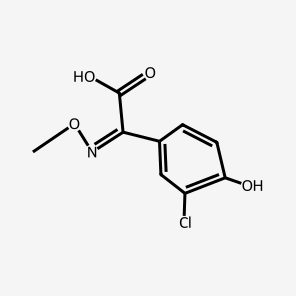 CON=C(C(=O)O)c1ccc(O)c(Cl)c1